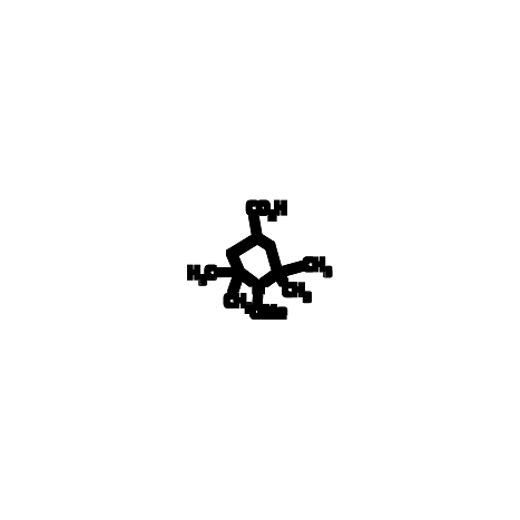 CON1C(C)(C)CC(C(=O)O)CC1(C)C